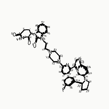 O=C1CCC(n2c(=O)n(CCN3CCN(c4cccc(-c5cnc6ccc(N7CCCC7c7cccc(F)c7)cn56)n4)CC3)c3ccccc32)C(=O)N1